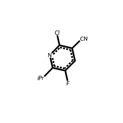 CC(C)c1nc(Cl)c(C#N)cc1F